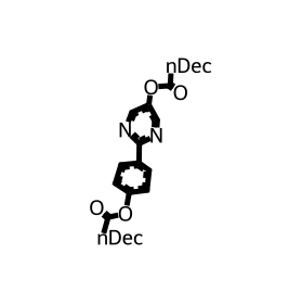 CCCCCCCCCCC(=O)Oc1ccc(-c2ncc(OC(=O)CCCCCCCCCC)cn2)cc1